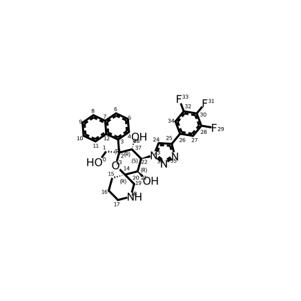 OC[C@@]1(c2cccc3ccccc23)O[C@@]2(CCCNC2)[C@H](O)[C@H](n2cc(-c3cc(F)c(F)c(F)c3)nn2)[C@H]1O